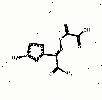 C=C(O/N=C(/C(N)=O)c1csc(N)n1)C(=O)O